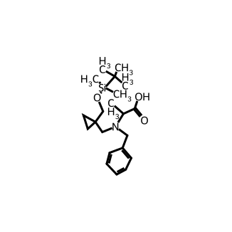 CC(C(=O)O)N(Cc1ccccc1)CC1(CO[Si](C)(C)C(C)(C)C)CC1